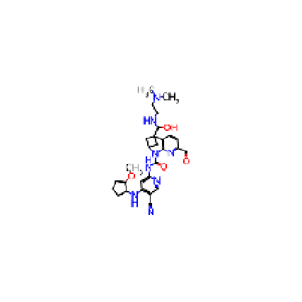 COC1CCCC1Nc1cc(NC(=O)N2c3nc(C=O)ccc3C3(C(O)NCCN(C)C)CC2C3)ncc1C#N